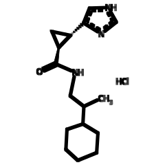 CC(CNC(=O)[C@H]1C[C@@H]1c1c[nH]cn1)C1CCCCC1.Cl